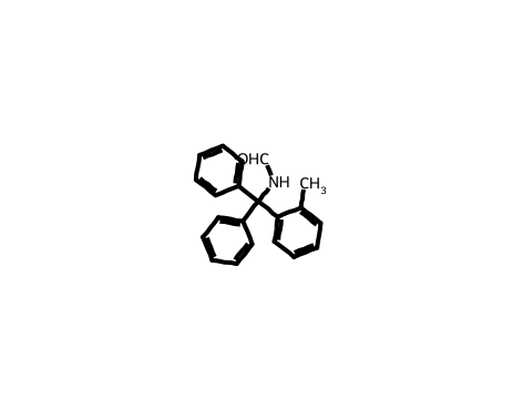 Cc1ccccc1C(N[C]=O)(c1ccccc1)c1ccccc1